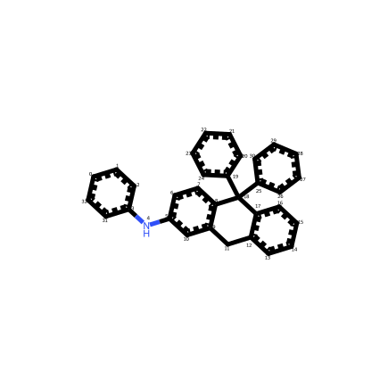 c1ccc(Nc2ccc3c(c2)Cc2ccccc2C3(c2ccccc2)c2ccccc2)cc1